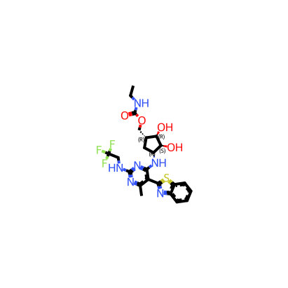 CCNC(=O)OC[C@H]1C[C@@H](Nc2nc(NCC(F)(F)F)nc(C)c2-c2nc3ccccc3s2)[C@H](O)[C@@H]1O